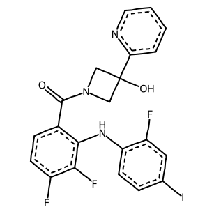 O=C(c1ccc(F)c(F)c1Nc1ccc(I)cc1F)N1CC(O)(c2ccccn2)C1